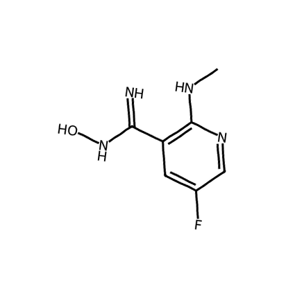 CNc1ncc(F)cc1C(=N)NO